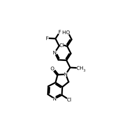 CC(C(/C=N\CC(F)F)=C/C(Cl)=C/O)N1Cc2c(ccnc2Cl)C1=O